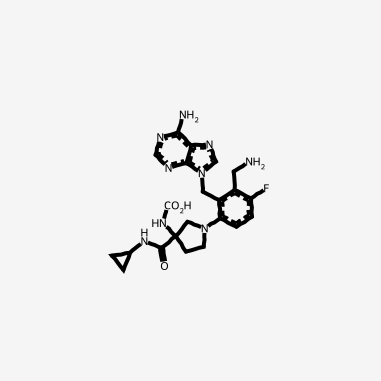 NCc1c(F)ccc(N2CCC(NC(=O)O)(C(=O)NC3CC3)C2)c1Cn1cnc2c(N)ncnc21